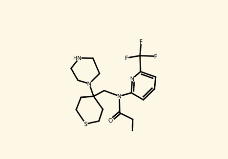 CCC(=O)N(CC1(N2CCNCC2)CCSCC1)c1cccc(C(F)(F)F)n1